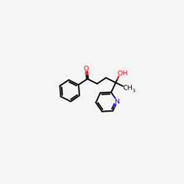 CC(O)(CCC(=O)c1ccccc1)c1ccccn1